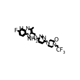 C/C(N)=C(\COc1ccc(N2CCN(CC(F)(F)F)C(=O)C2)nn1)N(N)c1ccc(F)cc1